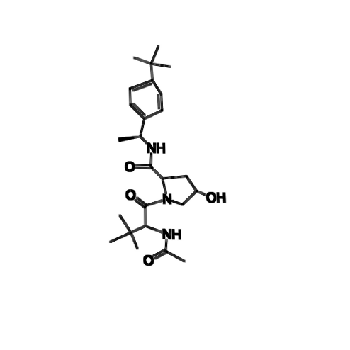 CC(=O)NC(C(=O)N1CC(O)CC1C(=O)N[C@@H](C)c1ccc(C(C)(C)C)cc1)C(C)(C)C